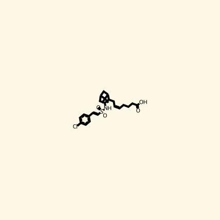 CC1(C)C2CC(NS(=O)(=O)C=Cc3ccc(Cl)cc3)C(C/C=C\CCCC(=O)O)C1C2